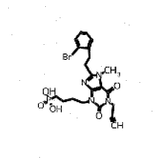 C#CCn1c(=O)c2c(nc(CCc3ccccc3Br)n2C)n(CCCCP(=O)(O)O)c1=O